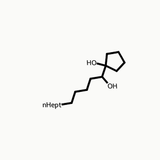 CCCCCCCCCCCC(O)C1(O)CCCC1